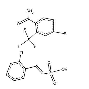 NC(=O)c1ccc(F)cc1C(F)(F)F.O=S(=O)(O)C=Cc1ccccc1Cl